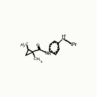 CC(C)Nc1ccc(NC(=O)C2(C)CC2C)cc1